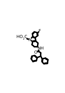 O=C(O)Cn1c2c(c3cc(F)ccc31)C[C@@H](NC(=O)CC(c1ccccc1)c1ccccc1)CC2